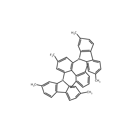 Cc1ccc2c3ccc(C)cc3n(-c3cc(C(F)(F)F)cc(-n4c5cc(C)ccc5c5ccc(C)cc54)c3-c3c(F)cccc3F)c2c1